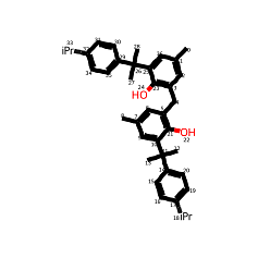 Cc1cc(Cc2cc(C)cc(C(C)(C)c3ccc(C(C)C)cc3)c2O)c(O)c(C(C)(C)c2ccc(C(C)C)cc2)c1